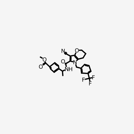 COC(=O)c1ccc(C(C)NC(=O)c2c(C#N)c3c(n2Cc2cccc(C(F)(F)F)c2)CCCO3)cc1